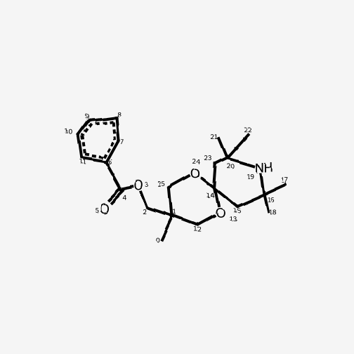 CC1(COC(=O)c2ccccc2)COC2(CC(C)(C)NC(C)(C)C2)OC1